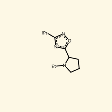 CCN1CCCC1c1nc(C(C)C)no1